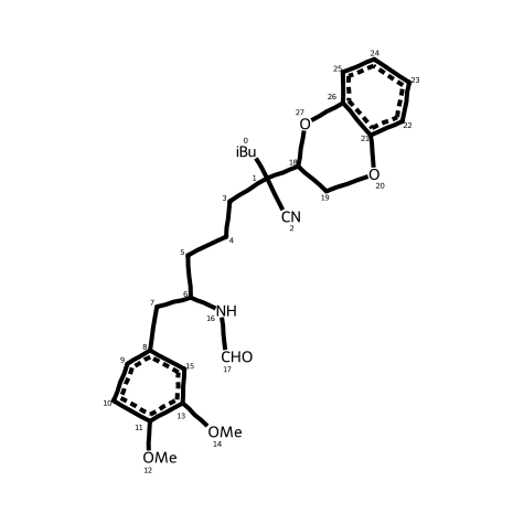 CCC(C)C(C#N)(CCCC(Cc1ccc(OC)c(OC)c1)NC=O)C1COc2ccccc2O1